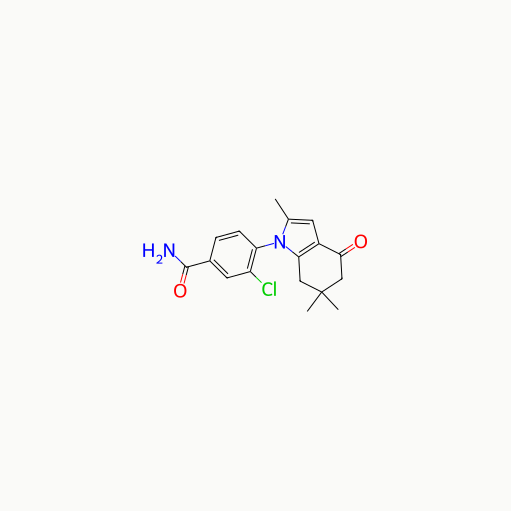 Cc1cc2c(n1-c1ccc(C(N)=O)cc1Cl)CC(C)(C)CC2=O